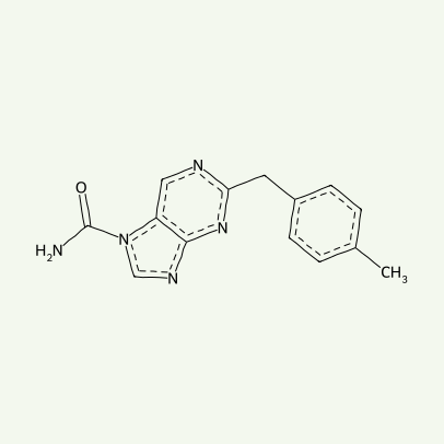 Cc1ccc(Cc2ncc3c(ncn3C(N)=O)n2)cc1